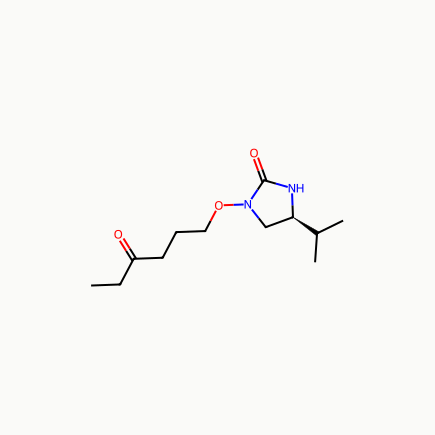 CCC(=O)CCCON1C[C@H](C(C)C)NC1=O